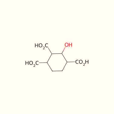 O=C(O)C1CCC(C(=O)O)C(C(=O)O)C1O